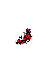 CC(C)(C)OC(=O)/C=C/c1c(N2CCN(C(=O)C(=Cc3ccncc3)c3cnc(NC(=O)OC(C)(C)C)s3)CC2)nc2cc(C(=O)Nc3nc(C(C)(C)C)cs3)ccn2c1=O